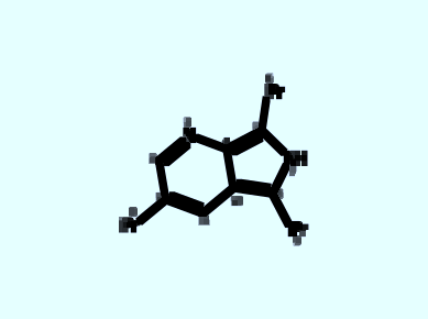 CC(C)c1cnc2c(C(C)C)[nH]c(C(C)C)c2c1